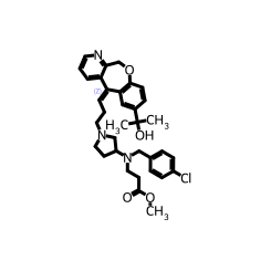 COC(=O)CCN(Cc1ccc(Cl)cc1)C1CCN(CC/C=C2\c3cc(C(C)(C)O)ccc3OCc3ncccc32)C1